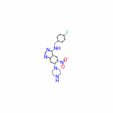 O=[N+]([O-])c1cc2c(NCc3ccc(F)cc3)ncnc2cc1N1CCNCC1